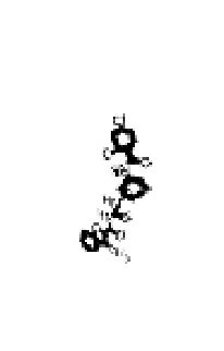 Cc1c(C(=O)NC(=S)Nc2cccc(NC(=O)c3ccc(Cl)cc3Cl)c2)oc2ccccc12